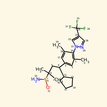 Cc1cc(C(CC(C)(C)[S+](N)[O-])C2CCCC2)cc(C)c1-n1cc(C(F)(F)F)cn1